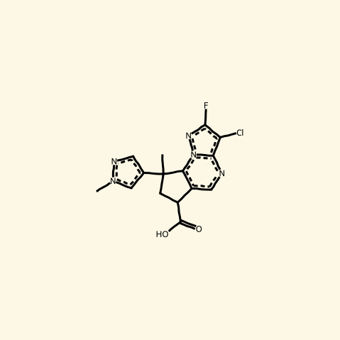 Cn1cc(C2(C)CC(C(=O)O)c3cnc4c(Cl)c(F)nn4c32)cn1